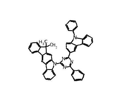 CC1(C)c2ccccc2-c2cc3c4ccccc4n(-c4nc(-c5ccccc5)nc(-c5ccc6c(c5)c5ccccc5n6-c5ccccc5)n4)c3cc21